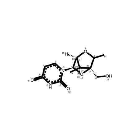 CC1O[C@@H]2[C@H](n3ccc(=O)[nH]c3=O)O[C@@]1(CO)[C@H]2C